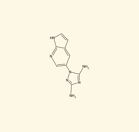 Nc1nc(N)n(-c2cnc3[nH]ccc3c2)n1